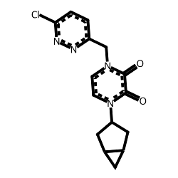 O=c1c(=O)n(C2CC3CC3C2)ccn1Cc1ccc(Cl)nn1